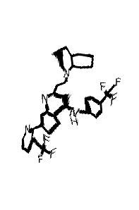 FC(F)(F)c1ccc(Nc2cc(CCN3CCCC4CCCCC43)nc3cc(-c4ncccc4C(F)(F)F)ccc23)cc1